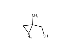 CC1(CS)C[SiH2]1